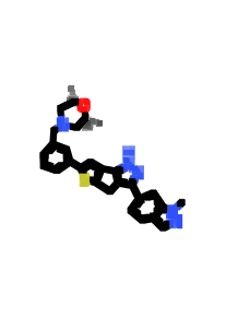 C[C@@H]1CN(Cc2cccc(-c3cc4c(s3)Cc3c(-c5ccc6cnn(C)c6c5)n[nH]c3-4)c2)C[C@H](C)O1